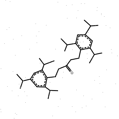 CC(C)c1cc(C(C)C)c(CCC(=O)CCc2c(C(C)C)cc(C(C)C)cc2C(C)C)c(C(C)C)c1